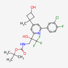 CC(C)(C)OC(=O)NCC(O)(c1cc(C2(C)CC(O)C2)cc(-c2ccc(F)c(Cl)c2)n1)C(F)(F)F